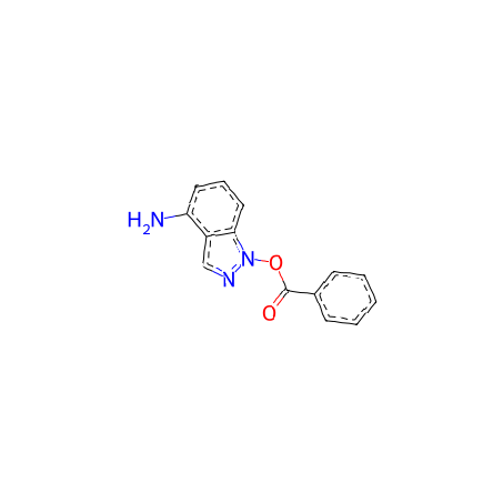 Nc1cccc2c1cnn2OC(=O)c1ccccc1